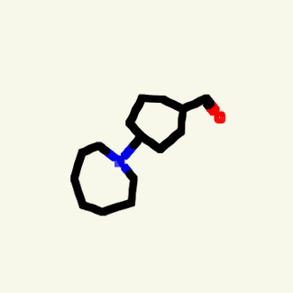 O=CC1CCCC(N2CCCCCCC2)CC1